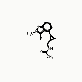 CC(=O)NCC1CC1c1cccc2nn(C)c(F)c12